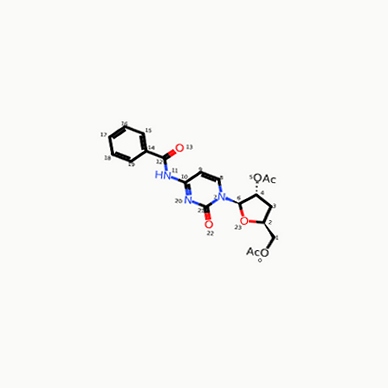 CC(=O)OC[C@@H]1C[C@@H](OC(C)=O)[C@H](n2ccc(NC(=O)c3ccccc3)nc2=O)O1